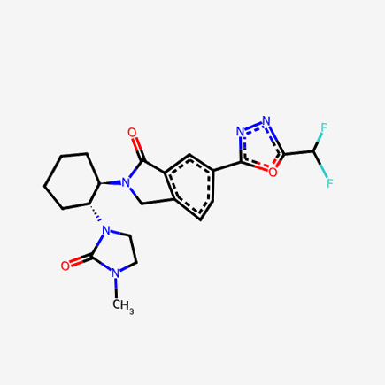 CN1CCN([C@@H]2CCCC[C@H]2N2Cc3ccc(-c4nnc(C(F)F)o4)cc3C2=O)C1=O